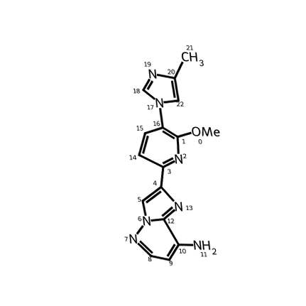 COc1nc(-c2cn3nccc(N)c3n2)ccc1-n1cnc(C)c1